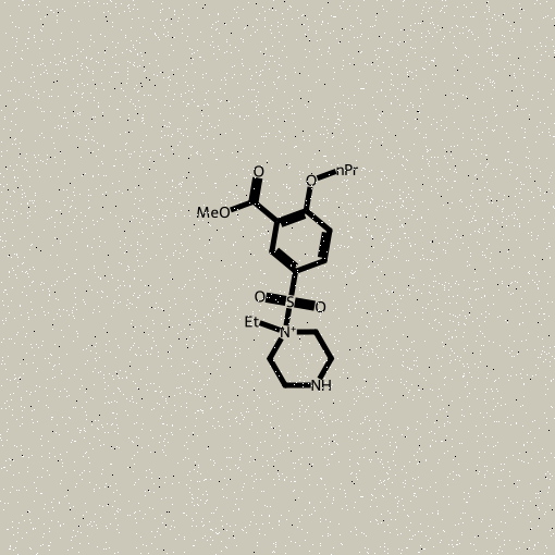 CCCOc1ccc(S(=O)(=O)[N+]2(CC)CCNCC2)cc1C(=O)OC